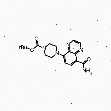 CC(C)(C)OC(=O)N1CCN(c2ccc(C(N)=O)c3nccnc23)CC1